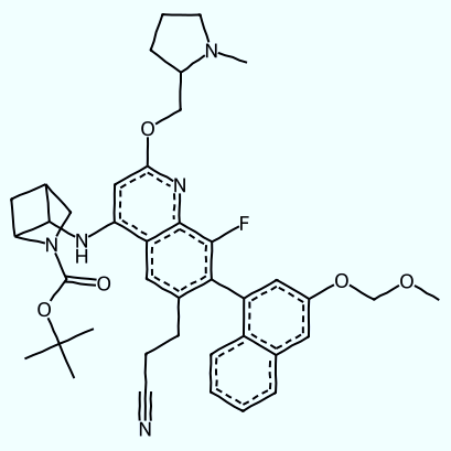 COCOc1cc(-c2c(CCC#N)cc3c(NC4C5CC4N(C(=O)OC(C)(C)C)C5)cc(OCC4CCCN4C)nc3c2F)c2ccccc2c1